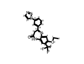 CCOc1cc2c(cc1C(F)(F)F)NC(=O)CC(c1cccc(-n3ccnn3)c1)=N2